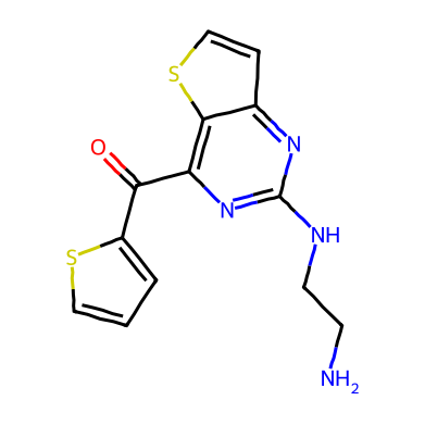 NCCNc1nc(C(=O)c2cccs2)c2sccc2n1